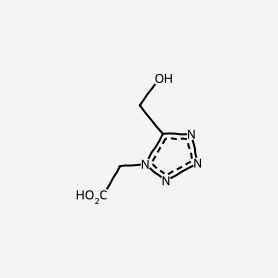 O=C(O)Cn1nnnc1CO